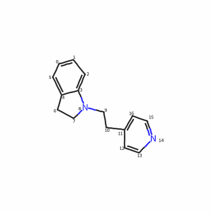 c1ccc2c(c1)CCN2CCc1ccncc1